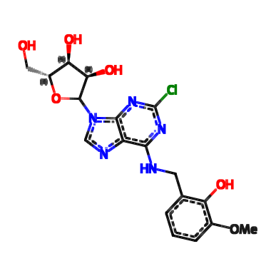 COc1cccc(CNc2nc(Cl)nc3c2ncn3C2O[C@H](CO)[C@@H](O)[C@H]2O)c1O